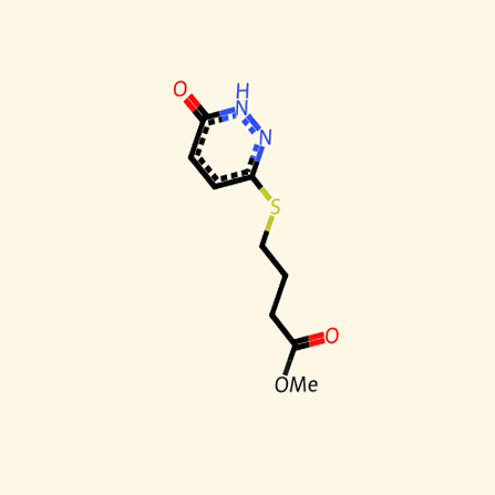 COC(=O)CCCSc1ccc(=O)[nH]n1